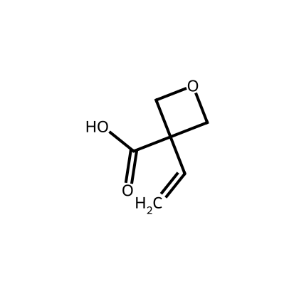 C=CC1(C(=O)O)COC1